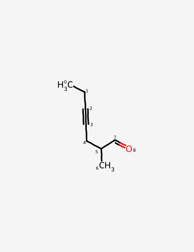 CCC#CCC(C)[C]=O